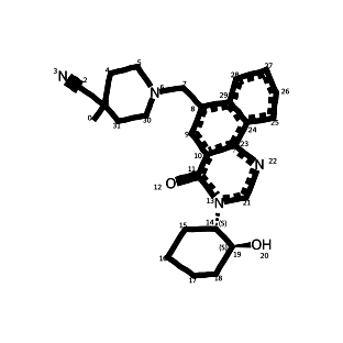 CC1(C#N)CCN(Cc2cc3c(=O)n([C@H]4CCCC[C@@H]4O)cnc3c3ccccc23)CC1